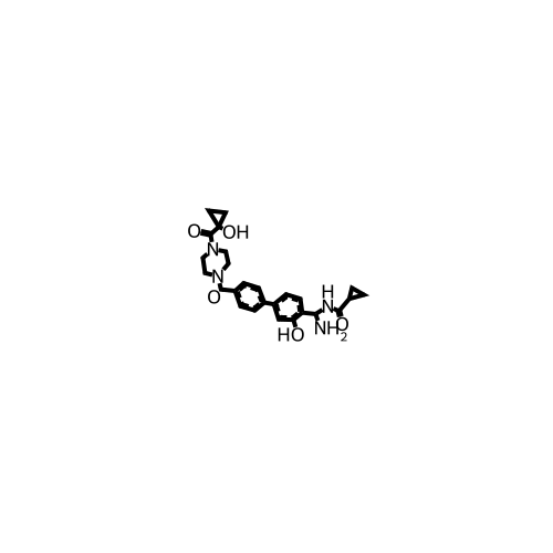 NC(NC(=O)C1CC1)c1ccc(-c2ccc(C(=O)N3CCN(C(=O)C4(O)CC4)CC3)cc2)cc1O